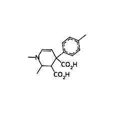 Cc1ccc(C2(C(=O)O)C=CN(C)C(C)C2C(=O)O)cc1